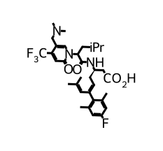 CC(C)=C/C(=C\C[C@H](CC(=O)O)NC(=O)C(CC(C)C)n1cc(CN(C)C)c(C(F)(F)F)cc1=O)c1c(C)cc(F)cc1C